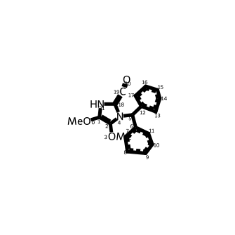 COC1=C(OC)N(C(c2ccccc2)c2ccccc2)C(=C=O)N1